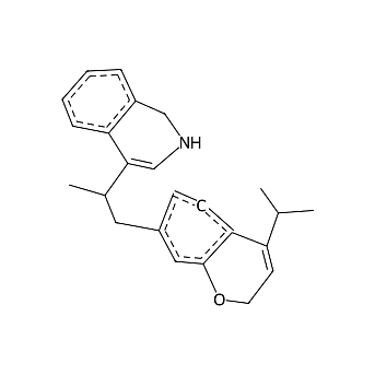 CC(C)C1=CCOc2cc(CC(C)C3=CNCc4ccccc43)ccc21